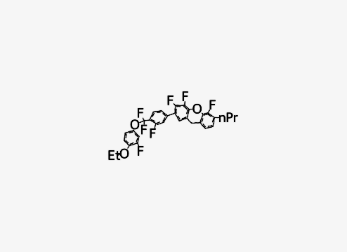 CCCc1ccc2c(c1F)Oc1c(cc(-c3ccc(C(F)(F)Oc4ccc(OCC)c(F)c4)c(F)c3)c(F)c1F)C2